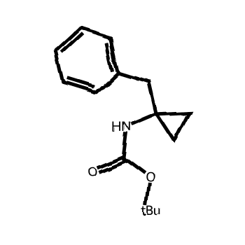 CC(C)(C)OC(=O)NC1(Cc2ccccc2)CC1